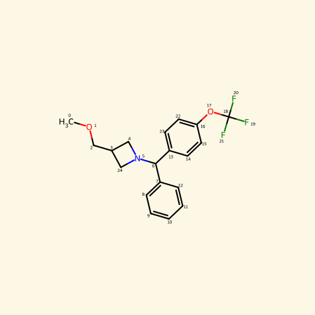 COCC1CN(C(c2ccccc2)c2ccc(OC(F)(F)F)cc2)C1